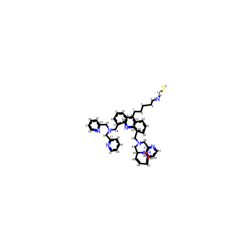 S=C=NCCCCCc1c2cccc(CN(Cc3ccccn3)Cc3ccccn3)c2nc2c(CN(Cc3ccccn3)CC3C=CC=CN3)cccc12